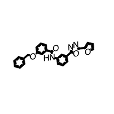 O=C(Nc1cccc(-c2nnc(-c3ccco3)o2)c1)c1cccc(OCc2ccccc2)c1